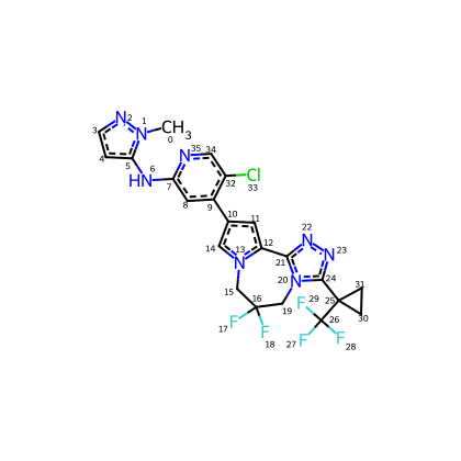 Cn1nccc1Nc1cc(-c2cc3n(c2)CC(F)(F)Cn2c-3nnc2C2(C(F)(F)F)CC2)c(Cl)cn1